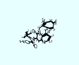 CC(C)(C)N(C(=O)O)C1Cc2ncccc2N(Cc2ccc(F)cc2)C1=O